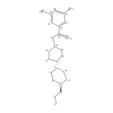 CCC[C@H]1CC[C@H](C2CCC(CC(=O)c3cc(F)cc(F)c3)CC2)CC1